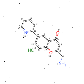 Cl.NCc1cc(=O)c2cc(-c3ccccn3)ccc2o1